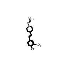 NCOB1CCC(C=Cc2ccc(O)c([N+](=O)[O-])c2)CC1